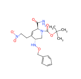 CC(C)(C)OC(=O)N1C[C@H](NOCc2ccccc2)C(CC[N+](=O)[O-])=C[C@H]1C(N)=O